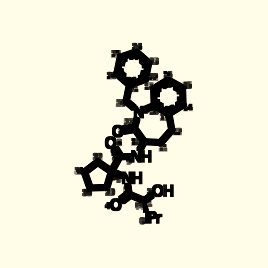 CC(C)[C@H](O)C(=O)NC1(C(=O)NC2CCc3ccccc3N(Cc3ccccc3)C2=O)CCCC1